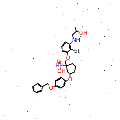 CCc1c(NCC(C)O)cccc1OCC1([PH](=O)O)CCCC(Oc2ccc(OCc3ccccc3)cc2)C1